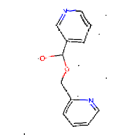 [O]C(OCc1ccccn1)c1cccnc1